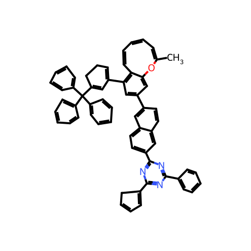 Cc1cccccc2c(C3=CCCC(C(c4ccccc4)(c4ccccc4)c4ccccc4)=C3)cc(-c3ccc4cc(-c5nc(C6=CC=CC6)nc(-c6ccccc6)n5)ccc4c3)cc2o1